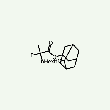 CCCCCCC(C)(F)C(=O)OC12CC3CC(C1)C(O)C(C3)C2